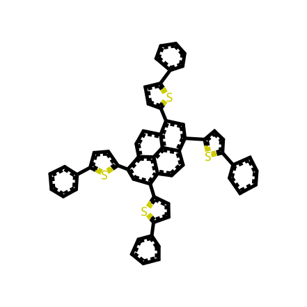 c1ccc(-c2ccc(-c3cc(-c4ccc(-c5ccccc5)s4)c4ccc5c(-c6ccc(-c7ccccc7)s6)cc(-c6ccc(-c7ccccc7)s6)c6ccc3c4c65)s2)cc1